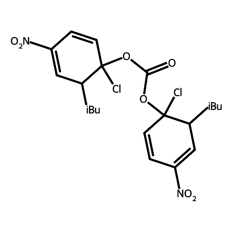 CCC(C)C1C=C([N+](=O)[O-])C=CC1(Cl)OC(=O)OC1(Cl)C=CC([N+](=O)[O-])=CC1C(C)CC